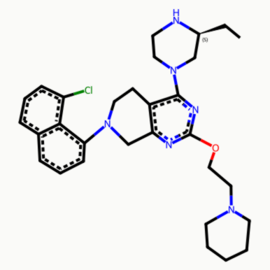 CC[C@H]1CN(c2nc(OCCN3CCCCC3)nc3c2CCN(c2cccc4cccc(Cl)c24)C3)CCN1